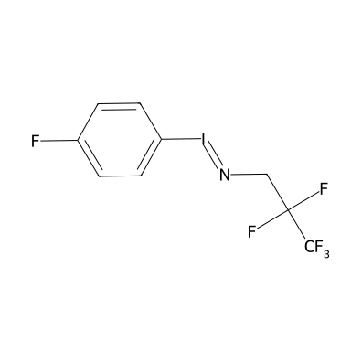 Fc1ccc(/I=N/CC(F)(F)C(F)(F)F)cc1